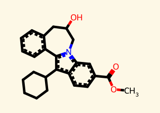 COC(=O)c1ccc2c(C3CCCCC3)c3n(c2c1)CC(O)Cc1ccccc1-3